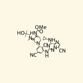 COC(=O)N[C@H]1CCN(c2cc(C#N)cc(Nc3nc(NC4CC4)c4ncc(C#N)n4n3)c2Cl)C[C@H]1N(C)CC(C)(C)O